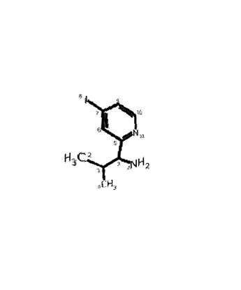 CC(C)C(N)c1cc(I)ccn1